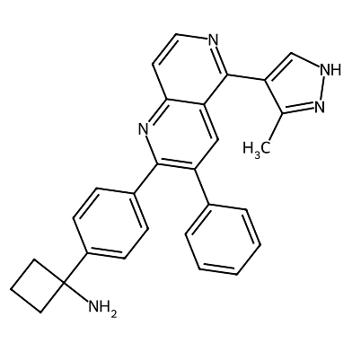 Cc1n[nH]cc1-c1nccc2nc(-c3ccc(C4(N)CCC4)cc3)c(-c3ccccc3)cc12